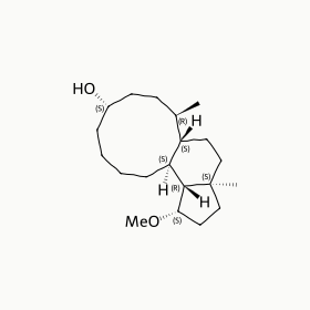 CO[C@H]1CC[C@]2(C)CC[C@@H]3[C@H](CCCC[C@H](O)CC[C@H]3C)[C@@H]12